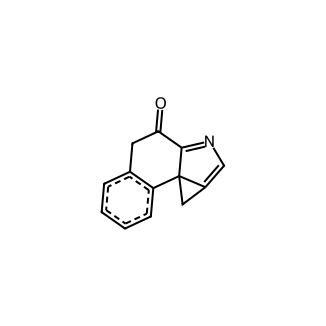 O=C1Cc2ccccc2C23CC2=CN=C13